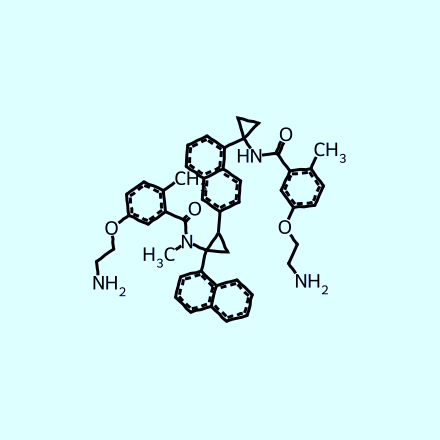 Cc1ccc(OCCN)cc1C(=O)NC1(c2cccc3cc(C4CC4(c4cccc5ccccc45)N(C)C(=O)c4cc(OCCN)ccc4C)ccc23)CC1